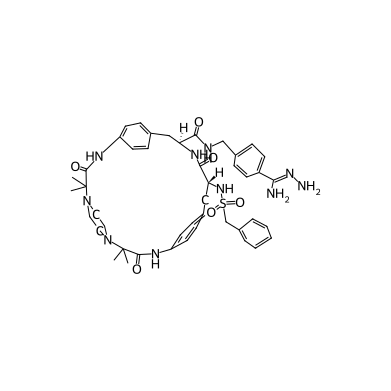 CC1(C)C(=O)Nc2ccc(cc2)C[C@@H](C(=O)NCc2ccc(C(N)=NN)cc2)NC(=O)[C@H](NS(=O)(=O)Cc2ccccc2)Cc2ccc(cc2)NC(=O)C(C)(C)N2CCN1CC2